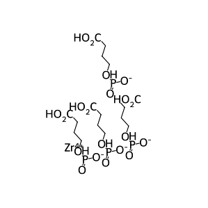 O=C(O)CCCO[PH](=O)[O-].O=C(O)CCCO[PH](=O)[O-].O=C(O)CCCO[PH](=O)[O-].O=C(O)CCCO[PH](=O)[O-].[Zr+4]